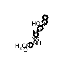 CC(=O)N1CCC(Nc2nc3cnc(N4CCC(N5CCc6ccccc6C5)C(O)C4)cc3s2)CC1